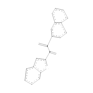 C=C(C(=O)c1cc2ccccc2s1)c1ccc2ccccc2c1